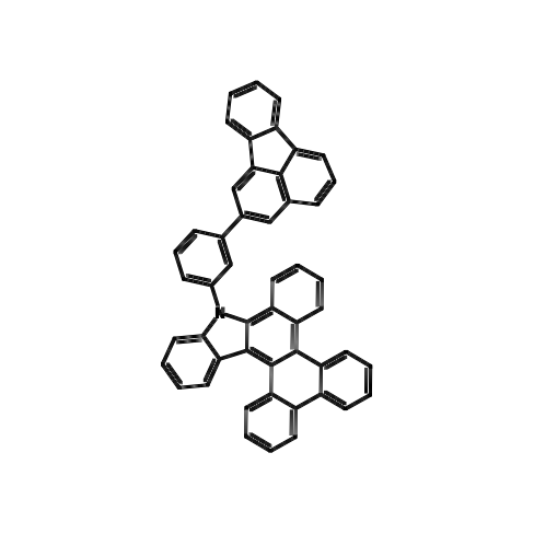 c1cc(-c2cc3c4c(cccc4c2)-c2ccccc2-3)cc(-n2c3ccccc3c3c4c5ccccc5c5ccccc5c4c4ccccc4c32)c1